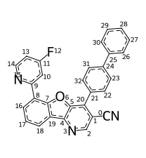 N#Cc1cnc2c(oc3c(-c4cc(F)ccn4)cccc32)c1-c1ccc(-c2ccccc2)cc1